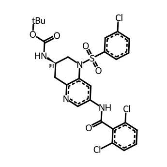 CC(C)(C)OC(=O)N[C@@H]1Cc2ncc(NC(=O)c3c(Cl)cccc3Cl)cc2N(S(=O)(=O)c2cccc(Cl)c2)C1